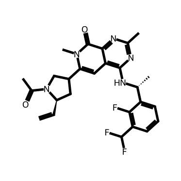 C=C[C@@H]1CC(c2cc3c(N[C@H](C)c4cccc(C(F)F)c4F)nc(C)nc3c(=O)n2C)CN1C(C)=O